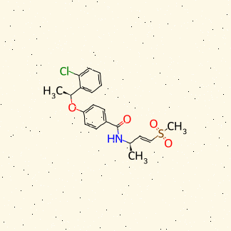 C[C@H](/C=C/S(C)(=O)=O)NC(=O)c1ccc(O[C@@H](C)c2ccccc2Cl)cc1